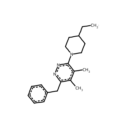 [CH2]CC1CCN(c2nnc(Cc3ccccc3)c(C)c2C)CC1